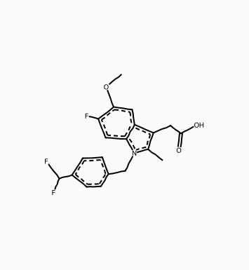 COc1cc2c(CC(=O)O)c(C)n(Cc3ccc(C(F)F)cc3)c2cc1F